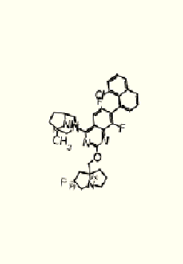 C[C@]12CCC(CN(c3nc(OC[C@@]45CCCN4C[C@H](F)C5)nc4c(F)c(-c5cccc6cccc(Cl)c56)c(F)cc34)C1)N2